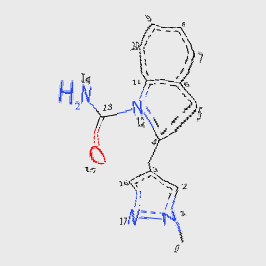 Cn1cc(-c2cc3ccccc3n2C(N)=O)cn1